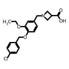 CCOc1cc(CN2CC(C(=O)O)C2)ccc1OCc1ccc(Cl)cc1